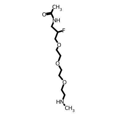 CNCCOCCOCCOCC(F)CNC(C)=O